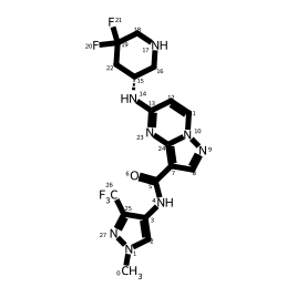 Cn1cc(NC(=O)c2cnn3ccc(N[C@H]4CNCC(F)(F)C4)nc23)c(C(F)(F)F)n1